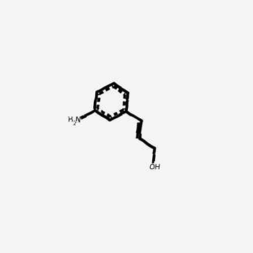 Nc1cccc(C=CCO)c1